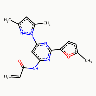 C=CC(=O)Nc1cc(-n2nc(C)cc2C)nc(-c2ccc(C)o2)n1